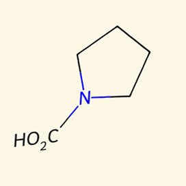 O=C(O)N1CCCC1